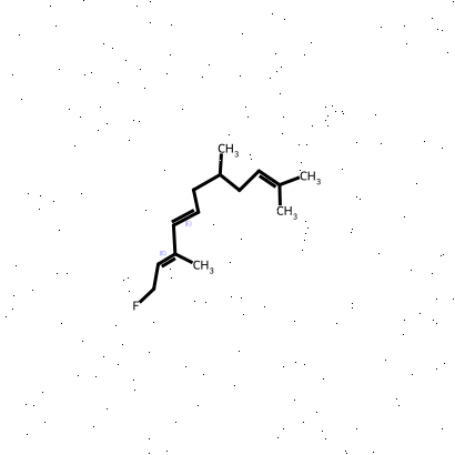 CC(C)=CCC(C)C/C=C/C(C)=C/CF